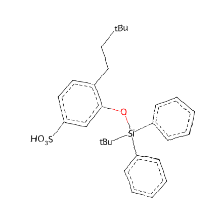 CC(C)(C)CCc1ccc(S(=O)(=O)O)cc1O[Si](c1ccccc1)(c1ccccc1)C(C)(C)C